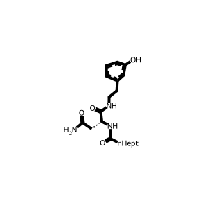 CCCCCCCC(=O)N[C@H](CC(N)=O)C(=O)NCCc1cccc(O)c1